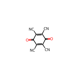 N#CC1=C(C#N)C(=O)C(C#N)=C(C#N)C1=O